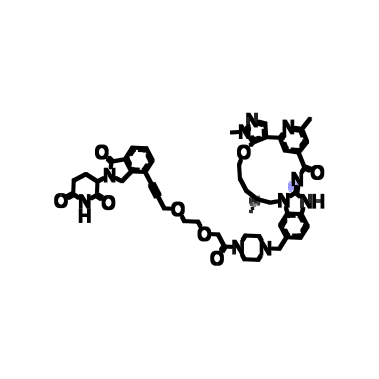 Cc1cc2cc(n1)-c1cnn(C)c1OCCC[C@@H](C)CN1/C(=N/C2=O)Nc2ccc(CN3CCN(C(=O)COCCOCC#Cc4cccc5c4CN(C4CCC(=O)NC4=O)C5=O)CC3)cc21